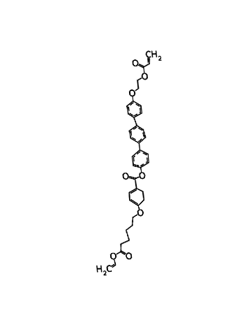 C=COC(=O)CCCCCOC1=CC=C(C(=O)Oc2ccc(-c3ccc(-c4ccc(OCCOC(=O)C=C)cc4)cc3)cc2)CC1